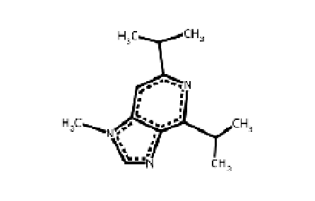 CC(C)c1cc2c(ncn2C)c(C(C)C)n1